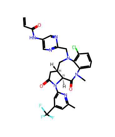 C=CC(=O)Nc1cnc(CN2C[C@H]3CC(=O)N(c4cc(C(F)(F)F)cc(C)n4)[C@@H]3C(=O)N(C)c3cccc(Cl)c32)nc1